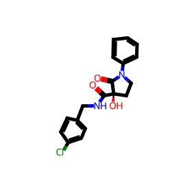 O=C(NCc1ccc(Cl)cc1)[C@@]1(O)CCN(c2ccccc2)C1=O